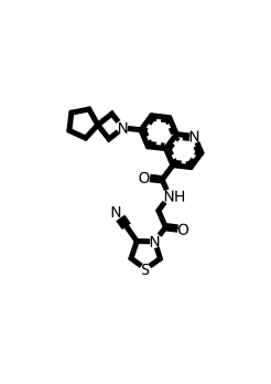 N#CC1CSCN1C(=O)CNC(=O)c1ccnc2ccc(N3CC4(CCCC4)C3)cc12